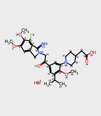 Br.COc1cc2c(c(F)c1OC)C(=N)N(CC(=O)c1cc(C(C)C)c(OC)c(N3CCC(CC(=O)O)CC3)c1)C2